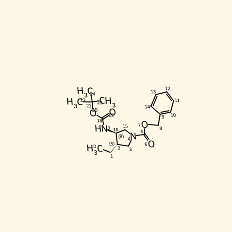 CC[C@H]1CN(C(=O)OCc2ccccc2)C[C@@H]1NC(=O)OC(C)(C)C